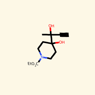 C#CC(C)(O)C1(O)CCN(C(=O)OCC)CC1